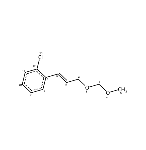 COCOCC=Cc1ccccc1Cl